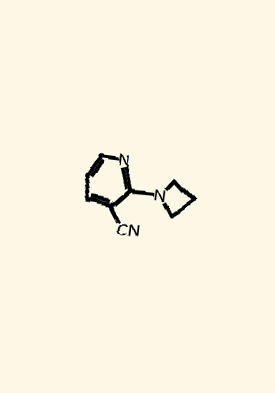 N#Cc1cccnc1N1CCC1